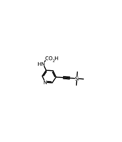 C[Si](C)(C)C#Cc1cncc(NC(=O)O)c1